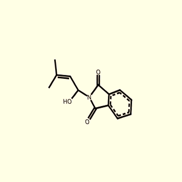 CC(C)=CC(O)N1C(=O)c2ccccc2C1=O